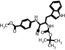 COC(=O)c1ccc(NC(C#N)C(Cc2c[nH]c3ccccc23)NC(=O)OC(C)(C)C)cc1